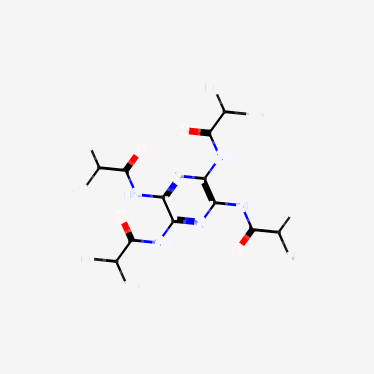 CCCCC(CC)C(=O)Nc1nc(NC(=O)C(CC)CCCC)c(NC(=O)C(CC)CCCC)nc1NC(=O)C(CC)CCCC